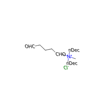 CCCCCCCCCC[N+](C)(C)CCCCCCCCCC.O=CCCCC=O.[Cl-]